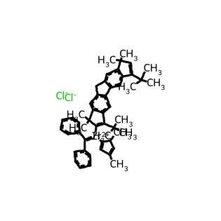 CC1=CC(C)[C]([Zr+2]([C]2=C(C(C)(C)C)c3cc4c(cc3C2(C)C)Cc2cc3c(cc2-4)C(C(C)(C)C)=CC3(C)C)=[C](c2ccccc2)c2ccccc2)=C1.[Cl-].[Cl-]